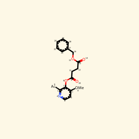 COc1ccnc(C(C)=O)c1OC(=O)CCC(=O)OCc1ccccc1